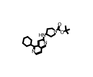 CC(C)(C)OC(=O)N1CCC(Nc2cc3c(C4CCCCC4)nccc3cn2)CC1